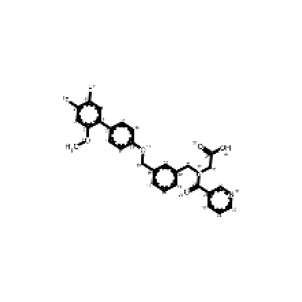 COc1cc(F)c(F)cc1-c1ccc(OCc2cccc(CN(CC(=O)O)C(=O)c3cccnc3)c2)cc1